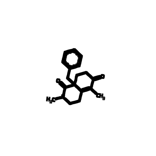 CC1=C2CCN(C)C(=O)C2(Cc2ccccc2)CCC1=O